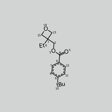 CCC1(COC(=O)c2ccc(C(C)(C)C)cc2)COC1